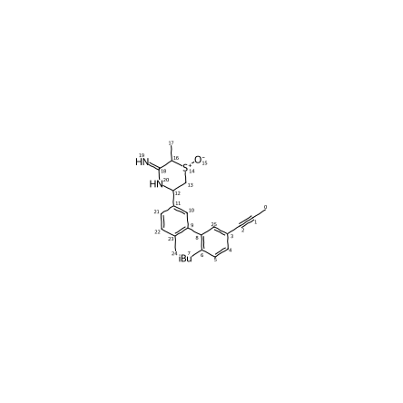 CC#Cc1ccc(C(C)CC)c(-c2cc(C3C[S+]([O-])C(C)C(=N)N3)ccc2C)c1